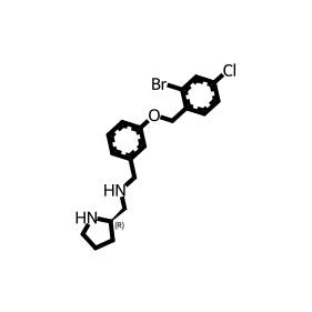 Clc1ccc(COc2cccc(CNC[C@H]3CCCN3)c2)c(Br)c1